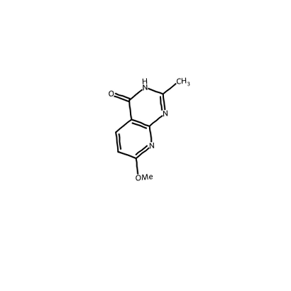 COc1ccc2c(=O)[nH]c(C)nc2n1